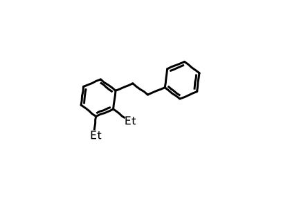 CCc1cccc(CCc2ccccc2)c1CC